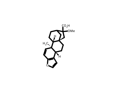 COC1(C(=O)O)C[C@@]23CC[C@@H]4c5ccoc5C=C[C@@]4(C)[C@@H]2CCC1C3